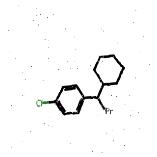 CC(C)C(c1ccc(Cl)cc1)C1CCCCC1